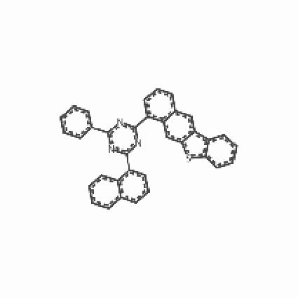 c1ccc(-c2nc(-c3cccc4ccccc34)nc(-c3cccc4cc5c(cc34)sc3ccccc35)n2)cc1